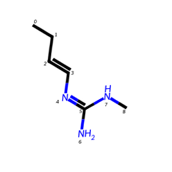 CCC=CN=C(N)NC